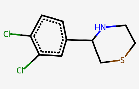 Clc1ccc(C2CSCCN2)cc1Cl